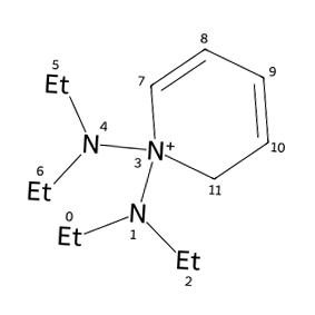 CCN(CC)[N+]1(N(CC)CC)C=CC=CC1